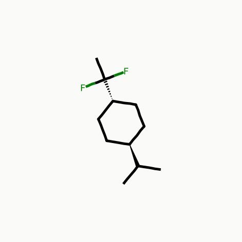 CC(C)[C@H]1CC[C@H](C(C)(F)F)CC1